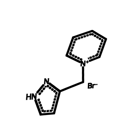 [Br-].c1cc[n+](Cc2cc[nH]n2)cc1